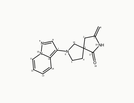 C=C1CC2(CCN(c3cnn4ccccc34)C2)C(=O)N1